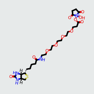 O=C(CCCC[C@@H]1SC[C@@H]2NC(=O)N[C@@H]21)NCCOCCOCCOCCOCCC(=O)O[N+]1(O)C(=O)CCC1=O